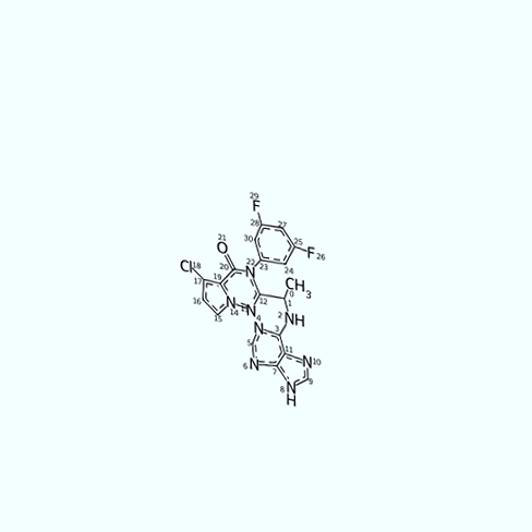 CC(Nc1ncnc2[nH]cnc12)c1nn2ccc(Cl)c2c(=O)n1-c1cc(F)cc(F)c1